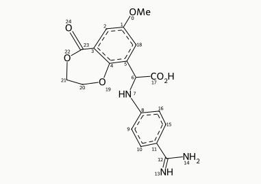 COc1cc2c(c(C(Nc3ccc(C(=N)N)cc3)C(=O)O)c1)OCCOC2=O